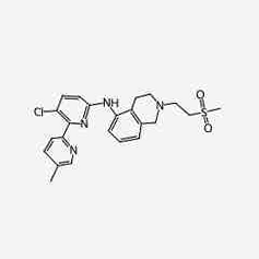 Cc1ccc(-c2nc(Nc3cccc4c3CCN(CCS(C)(=O)=O)C4)ccc2Cl)nc1